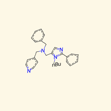 CCCCn1c(CN(Cc2ccccc2)Cc2ccncc2)cnc1-c1ccccc1